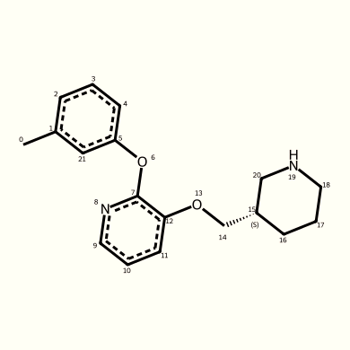 Cc1cccc(Oc2ncccc2OC[C@H]2CCCNC2)c1